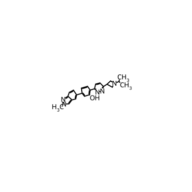 CC(C)N1CC(c2ccc(-c3ccc(-c4ccc5nn(C)cc5c4)cc3O)nn2)C1